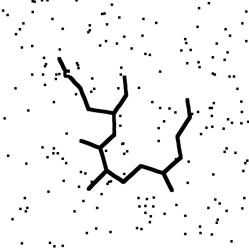 CCCCC(C)CCC(C)C(C)CC(CC)CCCC